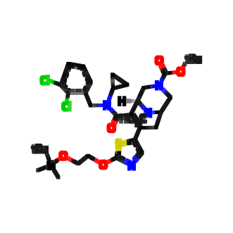 CC(C)(C)OC(=O)N1CC2CC(c3cnc(OCCO[Si](C)(C)C(C)(C)C)s3)=C(C(=O)N(Cc3cccc(Cl)c3Cl)C3CC3)[C@@H](C1)N2C(=O)O